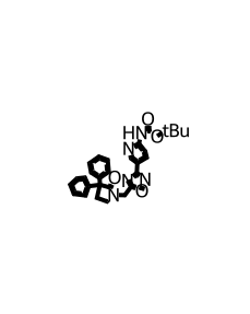 CC(C)(C)OC(=O)Nc1ccc(-c2noc(CN3CCC(c4ccccc4)(c4ccccc4)C3=O)n2)cn1